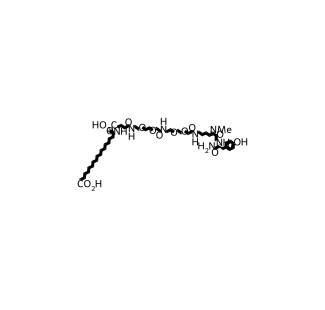 CN[C@@H](CCCCNC(=O)COCCOCCNC(=O)COCCOCCNC(=O)CCC(NC(=O)CCCCCCCCCCCCCCCCC(=O)O)C(=O)O)C(=O)CN[C@@H](Cc1ccc(O)cc1)C(N)=O